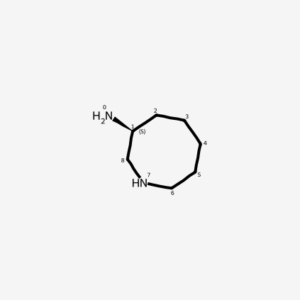 N[C@H]1CCCCCNC1